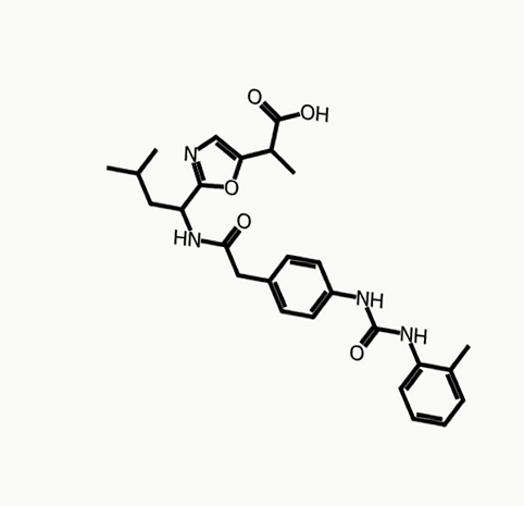 Cc1ccccc1NC(=O)Nc1ccc(CC(=O)NC(CC(C)C)c2ncc(C(C)C(=O)O)o2)cc1